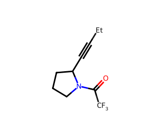 CCC#CC1CCCN1C(=O)C(F)(F)F